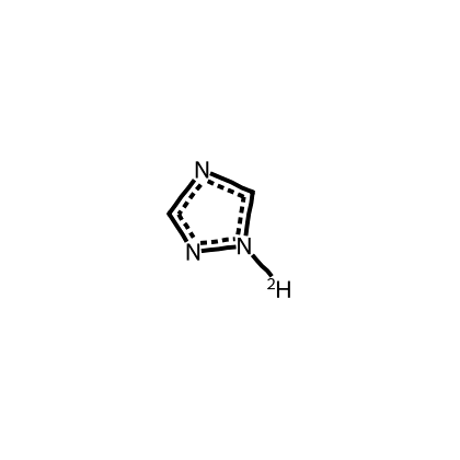 [2H]n1cncn1